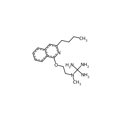 CCCCc1cc2ccccc2c(OCCN(C)C(N)(N)N)n1